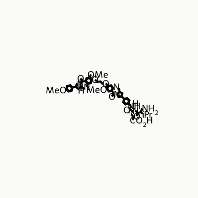 COc1ccc(C2=CN3C(=O)c4cc(OC)c(OCCCOc5cc6c(cc5OC)C(=O)N5C=C(c7ccc(NC(=O)[C@H](CCC(=O)O)NC(=O)C(CN)C(C)C)cc7)CC5C=N6)cc4N=C[C@@H]3C2)cc1